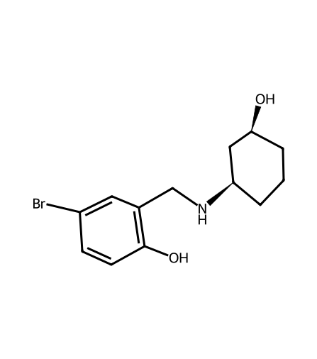 Oc1ccc(Br)cc1CN[C@@H]1CCC[C@H](O)C1